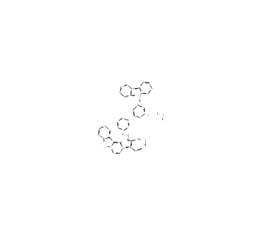 N#Cc1cc(-c2cccc(-n3c4cnccc4c4ccc5sc6ccccc6c5c43)c2)cc(-n2c3ccccc3c3ccccc32)c1